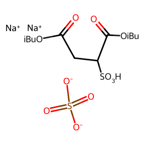 CC(C)COC(=O)CC(C(=O)OCC(C)C)S(=O)(=O)O.O=S(=O)([O-])[O-].[Na+].[Na+]